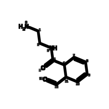 NCCNC(=O)C1C=CC=CC1C=O